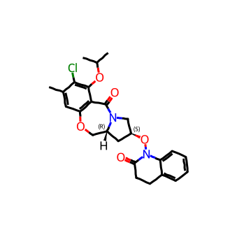 Cc1cc2c(c(OC(C)C)c1Cl)C(=O)N1C[C@@H](ON3C(=O)CCc4ccccc43)C[C@@H]1CO2